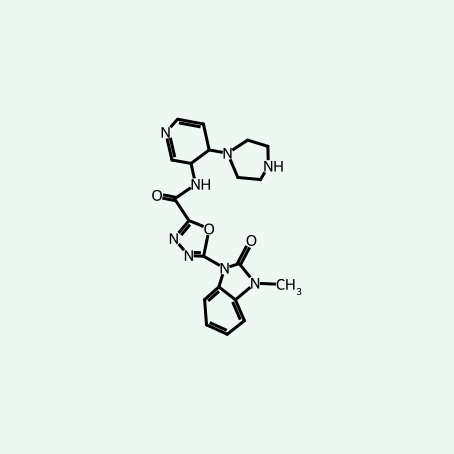 Cn1c(=O)n(-c2nnc(C(=O)NC3C=NC=CC3N3CCNCC3)o2)c2ccccc21